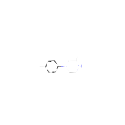 CCc1ccc(N2CCNC(C(=O)O)C2)cc1